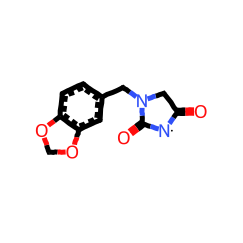 O=C1CN(Cc2ccc3c(c2)OCO3)C(=O)[N]1